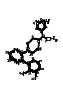 CC(c1cn[nH]c1)N1CCN(c2nccnc2-c2cccc(F)c2F)CC1